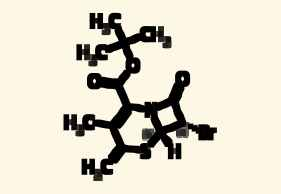 C=C1S[C@H]2[C@@H](Br)C(=O)N2C(C(=O)OC(C)(C)C)=C1C